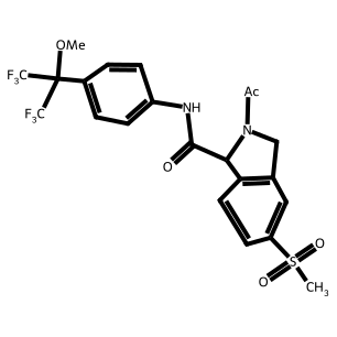 COC(c1ccc(NC(=O)C2c3ccc(S(C)(=O)=O)cc3CN2C(C)=O)cc1)(C(F)(F)F)C(F)(F)F